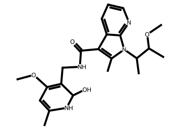 COC1=C(CNC(=O)c2c(C)n(C(C)C(C)OC)c3ncccc23)C(O)NC(C)=C1